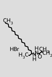 Br.C=C(C)C(=O)NNC(CC)CCCCCCCCCCCCCCCCC